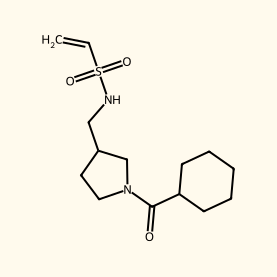 C=CS(=O)(=O)NCC1CCN(C(=O)C2CCCCC2)C1